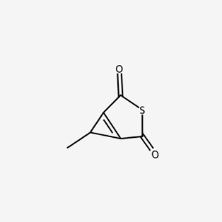 CC1C2=C1C(=O)SC2=O